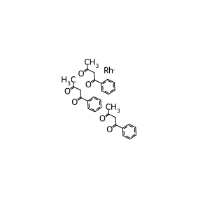 CC(=O)CC(=O)c1ccccc1.CC(=O)CC(=O)c1ccccc1.CC(=O)CC(=O)c1ccccc1.[Rh]